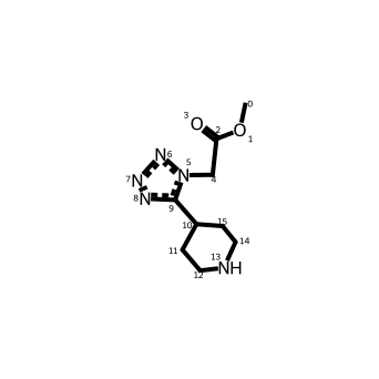 COC(=O)Cn1nnnc1C1CCNCC1